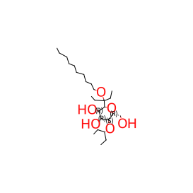 CCCCCCCCCCOC(CC)(CC)C1O[C@H](CO)[C@@H](OC(CC)CC)[C@H](O)[C@H]1O